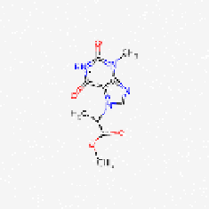 COC(=O)C(C)n1cnc2c1c(=O)[nH]c(=O)n2C